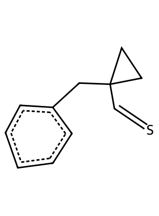 S=CC1(Cc2ccccc2)CC1